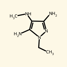 CCn1nc(N)c(NC)c1N